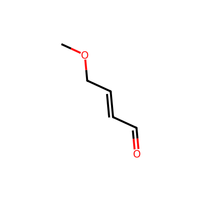 COCC=CC=O